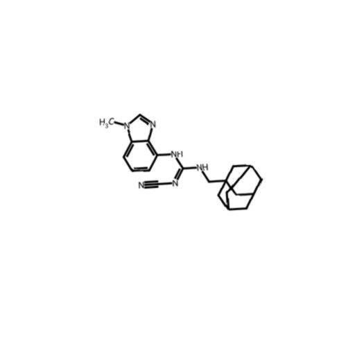 Cn1cnc2c(NC(=NC#N)NCC34CC5CC(CC(C5)C3)C4)cccc21